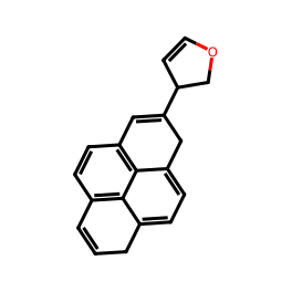 C1=Cc2ccc3c4c(ccc(c24)C1)CC(C1C=COC1)=C3